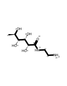 C[C@@H](O)[C@@H](O)[C@H](O)[C@@H](O)C(=O)NCCN